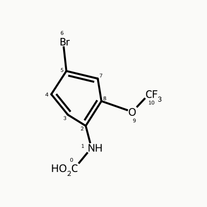 O=C(O)Nc1ccc(Br)cc1OC(F)(F)F